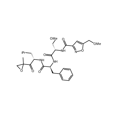 COCc1cc(C(=O)N[C@@H](COC)C(=O)N[C@@H](Cc2ccccc2)C(=O)N[C@@H](CC(C)C)C(=O)C2(C)CO2)no1